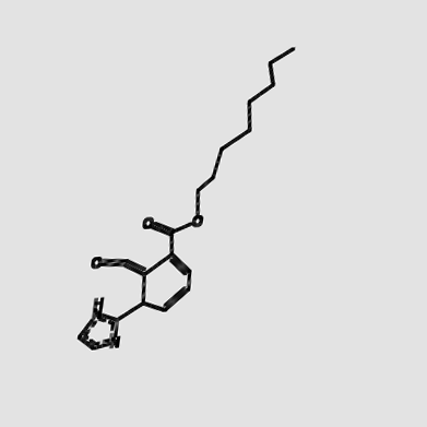 CCCCCCCCOC(=O)C1=CC=CC(c2ncc[nH]2)C1=C=O